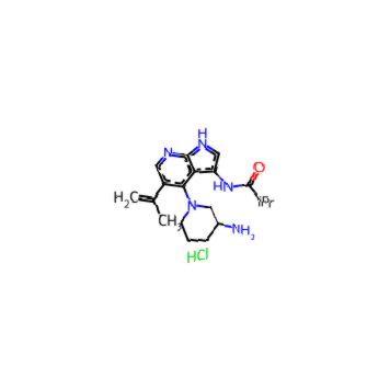 C=C(C)c1cnc2[nH]cc(NC(=O)C(C)C)c2c1N1CCCC(N)C1.Cl